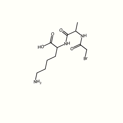 CC(NC(=O)CBr)C(=O)NC(CCCCN)C(=O)O